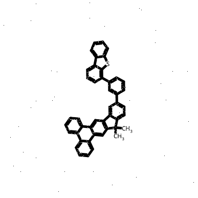 CC1(C)c2ccc(-c3cccc(-c4cccc5c4sc4ccccc45)c3)cc2-c2cc3c4ccccc4c4ccccc4c3cc21